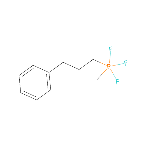 CP(F)(F)(F)CCCc1ccccc1